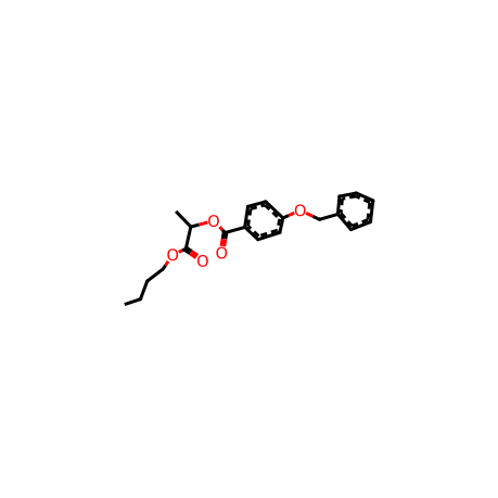 CCCCOC(=O)C(C)OC(=O)c1ccc(OCc2ccccc2)cc1